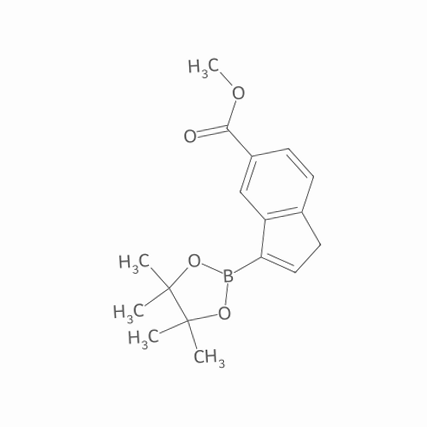 COC(=O)c1ccc2c(c1)C(B1OC(C)(C)C(C)(C)O1)=CC2